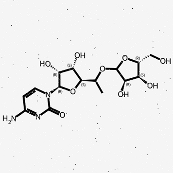 CC(OC1O[C@H](CO)[C@@H](O)[C@H]1O)[C@H]1O[C@@H](n2ccc(N)nc2=O)[C@H](O)[C@@H]1O